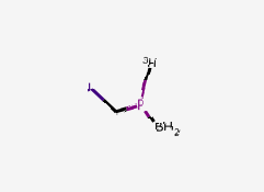 [3H]P(B)CI